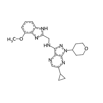 COc1cccc2[nH]c(CNc3nn(C4CCOCC4)c4nc(C5CC5)cnc34)nc12